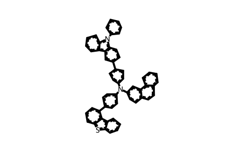 c1ccc(-n2c3ccccc3c3cc(-c4ccc(N(c5ccc(-c6cccc7sc8ccccc8c67)cc5)c5ccc6ccc7ccccc7c6c5)cc4)ccc32)cc1